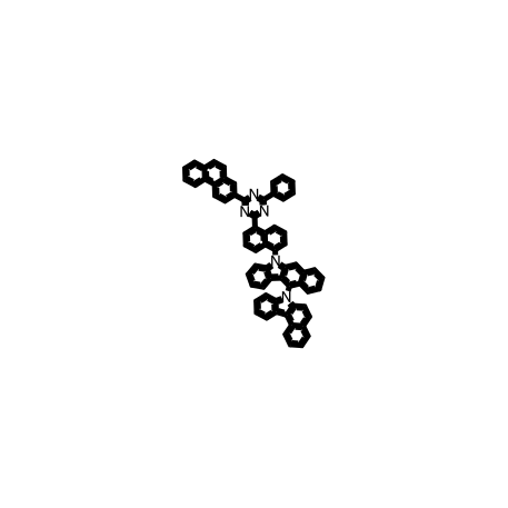 c1ccc(-c2nc(-c3ccc4c(ccc5ccccc54)c3)nc(-c3cccc4c(-n5c6ccccc6c6c(-n7c8ccccc8c8c9ccccc9ccc87)c7ccccc7cc65)cccc34)n2)cc1